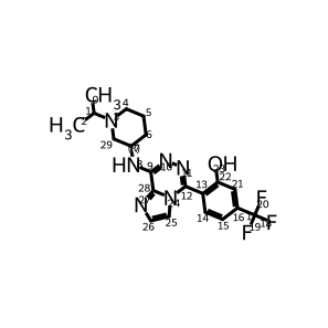 CC(C)N1CCC[C@@H](Nc2nnc(-c3ccc(C(F)(F)F)cc3O)n3ccnc23)C1